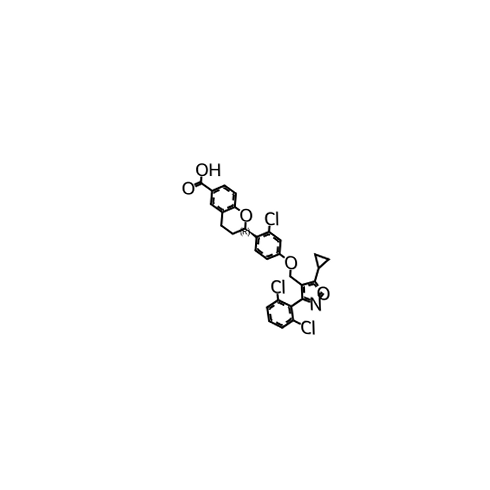 O=C(O)c1ccc2c(c1)CC[C@H](c1ccc(OCc3c(-c4c(Cl)cccc4Cl)noc3C3CC3)cc1Cl)O2